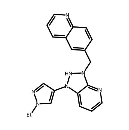 CCn1cc(N2NN(Cc3ccc4ncccc4c3)c3ncccc32)cn1